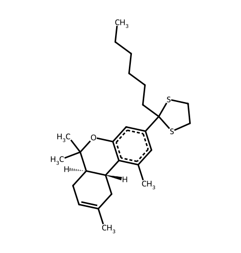 CCCCCCC1(c2cc(C)c3c(c2)OC(C)(C)[C@@H]2CC=C(C)C[C@@H]32)SCCS1